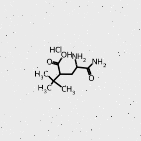 CC(C)(C)C(CC(N)C(N)=O)C(=O)O.Cl